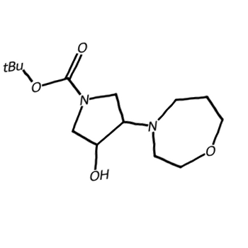 CC(C)(C)OC(=O)N1CC(O)C(N2CCCOCC2)C1